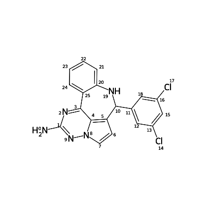 Nc1nc2c3c(ccn3n1)C(c1cc(Cl)cc(Cl)c1)Nc1ccccc1-2